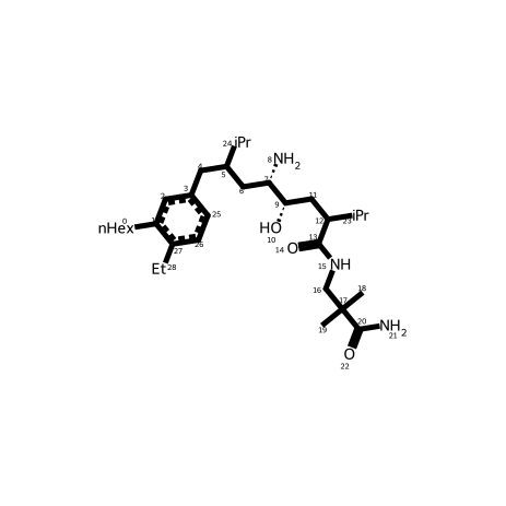 CCCCCCc1cc(CC(C[C@H](N)[C@@H](O)CC(C(=O)NCC(C)(C)C(N)=O)C(C)C)C(C)C)ccc1CC